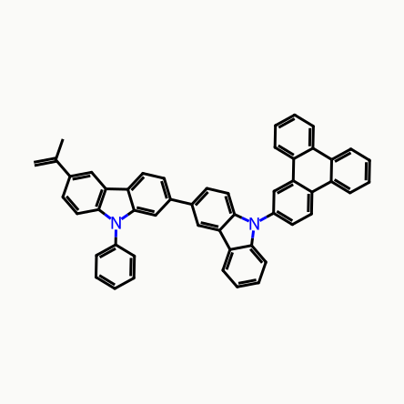 C=C(C)c1ccc2c(c1)c1ccc(-c3ccc4c(c3)c3ccccc3n4-c3ccc4c5ccccc5c5ccccc5c4c3)cc1n2-c1ccccc1